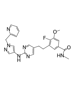 CNC(=O)c1cc(CCc2cnc(Nc3cnn(Cc4ccccn4)c3)nc2)c(F)c(OC)c1